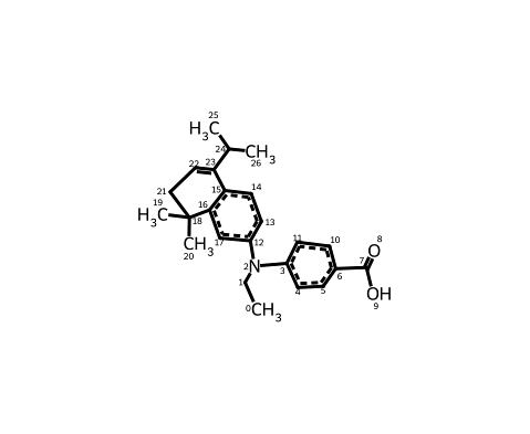 CCN(c1ccc(C(=O)O)cc1)c1ccc2c(c1)C(C)(C)CC=C2C(C)C